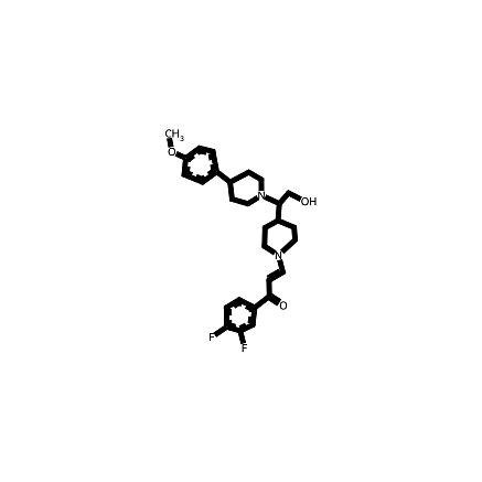 COc1ccc(C2CCN(C(CO)C3CCN(C=CC(=O)c4ccc(F)c(F)c4)CC3)CC2)cc1